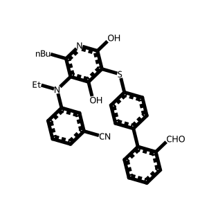 CCCCc1nc(O)c(Sc2ccc(-c3ccccc3C=O)cc2)c(O)c1N(CC)c1cccc(C#N)c1